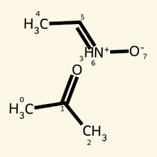 CC(C)=O.CC=[NH+][O-]